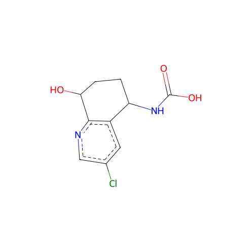 O=C(O)NC1CCC(O)c2ncc(Cl)cc21